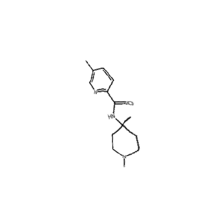 Cc1ccc(C(=O)NC2(C)CCN(C)CC2)nc1